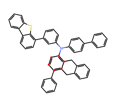 c1ccc(-c2ccc(N(c3cccc(-c4cccc5c4sc4ccccc45)c3)c3ccc(-c4ccccc4)c4c3C3c5ccccc5C4c4ccccc43)cc2)cc1